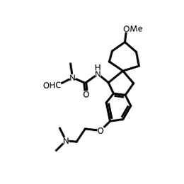 COC1CCC2(CC1)Cc1ccc(OCCN(C)C)cc1C2NC(=O)N(C)C=O